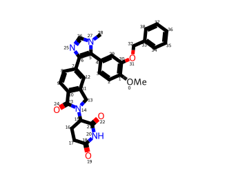 COc1ccc(-c2c(-c3ccc4c(c3)CN(C3CCC(=O)NC3=O)C4=O)ncn2C)cc1OCc1ccccc1